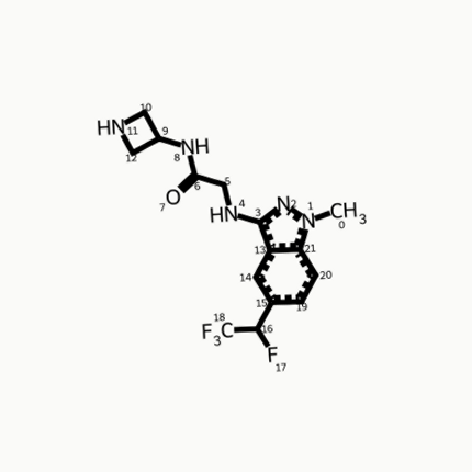 Cn1nc(NCC(=O)NC2CNC2)c2cc(C(F)C(F)(F)F)ccc21